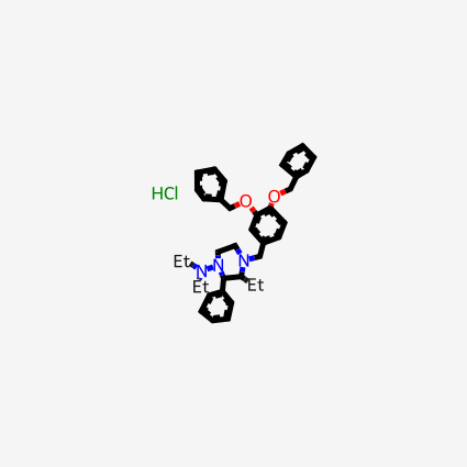 CCC1C(c2ccccc2)N(N(CC)CC)CCN1Cc1ccc(OCc2ccccc2)c(OCc2ccccc2)c1.Cl